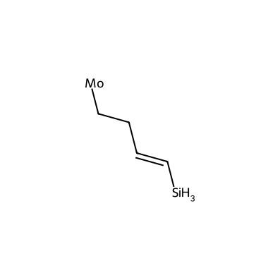 [SiH3]C=CC[CH2][Mo]